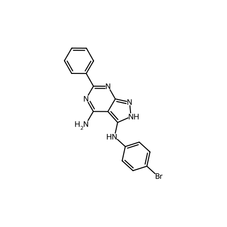 Nc1nc(-c2ccccc2)nc2n[nH]c(Nc3ccc(Br)cc3)c12